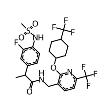 CC(C(=O)NCc1ccc(C(F)(F)F)nc1OC1CCC(C(F)(F)F)CC1)c1ccc(NS(C)(=O)=O)c(F)c1